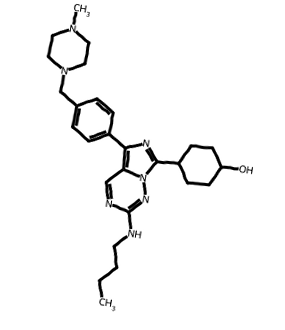 CCCCNc1ncc2c(-c3ccc(CN4CCN(C)CC4)cc3)nc(C3CCC(O)CC3)n2n1